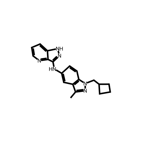 Cc1nn(CC2CCC2)c2ccc(Nc3n[nH]c4cccnc34)cc12